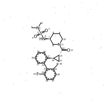 CN(C)S(=O)(=O)N[C@H]1CCCN(C(=O)[C@@H]2C[C@H]2c2ccccc2-c2c(F)cccc2F)C1